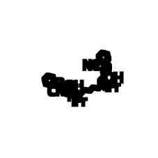 CC(C)N(CCCCCCN(CC(O)COc1ccccc1C#N)C(C)C)CC(O)COc1ccccc1C#N